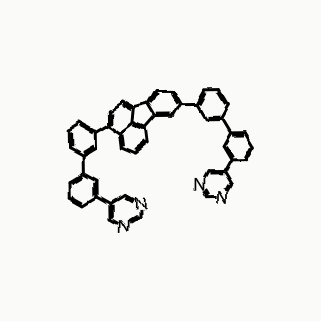 c1cc(-c2cncnc2)cc(-c2cccc(-c3ccc4c(c3)-c3cccc5c(-c6cccc(-c7cccc(-c8cncnc8)c7)c6)ccc-4c35)c2)c1